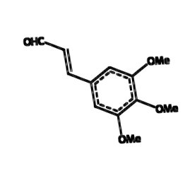 COc1cc(C=CC=O)cc(OC)c1OC